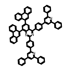 c1ccc(-c2cc(-c3ccccc3)nc(-c3ccc(-c4nc(-c5ccc(-c6cc(-c7ccccc7)nc(-c7ccccc7)c6)cc5)c5cc(-c6cc7ccccc7c7ccccc67)cc(-c6cc7ccccc7c7ccccc67)c5n4)cc3)c2)cc1